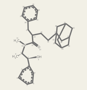 C[C@@H]([C@@H](O)c1ccccc1)N(C)C(=O)C(CCC12CC3CC(CC(C3)C1)C2)Cc1ccccc1